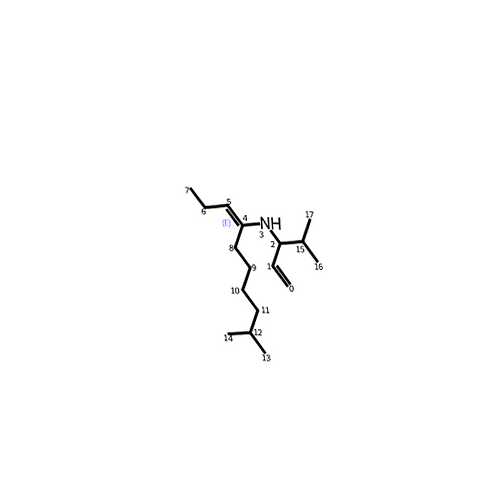 C=CC(N/C(=C/CC)CCCCC(C)C)C(C)C